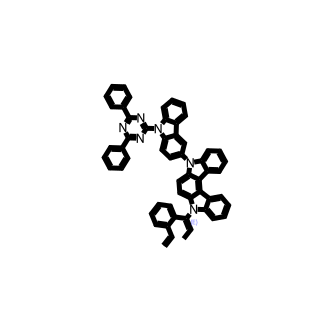 C=Cc1ccccc1/C(=C\C)n1c2ccccc2c2c3c4ccccc4n(-c4ccc5c(c4)c4ccccc4n5-c4nc(-c5ccccc5)nc(-c5ccccc5)n4)c3ccc21